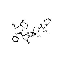 CC(CC1CCCCC1)C(=O)N1CCC(O)(Cn2cc(C(=O)N3CCNCC3CO)c(-c3ccccc3)cc2=O)C(C)(C)C1